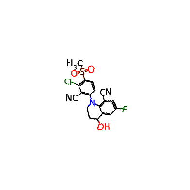 CS(=O)(=O)c1ccc(N2CCC(O)c3cc(F)cc(C#N)c32)c(C#N)c1Cl